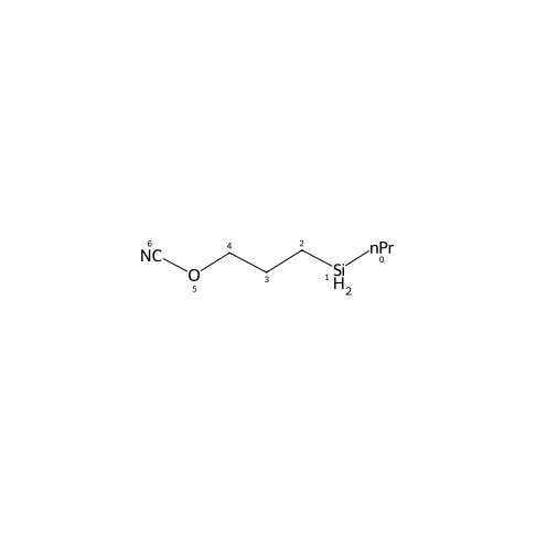 CCC[SiH2]CCCOC#N